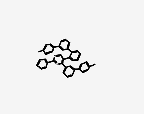 Cc1ccc(-c2cccc(-c3ccccc3-c3cnc(-c4ccccc4)nc3-c3cccc(-c4ccc(C)cc4)c3)c2)cc1